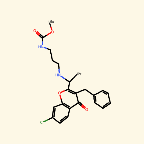 CC(C)C(NCCCNC(=O)OC(C)(C)C)c1oc2cc(Cl)ccc2c(=O)c1Cc1ccccc1